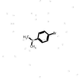 C[S+](C)c1ccc(Br)cc1